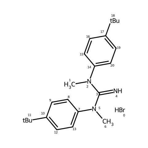 Br.CN(C(=N)N(C)c1ccc(C(C)(C)C)cc1)c1ccc(C(C)(C)C)cc1